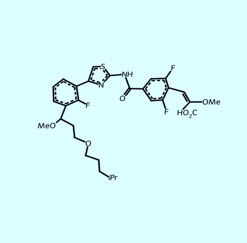 COC(=Cc1c(F)cc(C(=O)Nc2nc(-c3cccc(C(CCOCCCC(C)C)OC)c3F)cs2)cc1F)C(=O)O